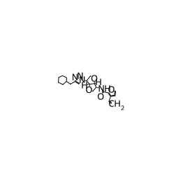 C=Cc1ccoc1C(=O)N[C@H]1CO[C@H]2[C@@H]1OC[C@@H]2n1cc(CC2CCCCC2)nn1